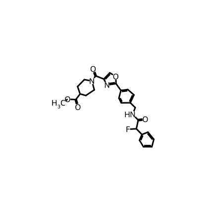 COC(=O)C1CCN(C(=O)c2coc(-c3ccc(CNC(=O)C(F)c4ccccc4)cc3)n2)CC1